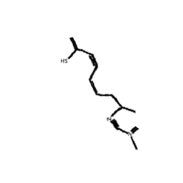 C=C(S)/C=C\C=C/CC(C)/N=C\[N+](=C)C